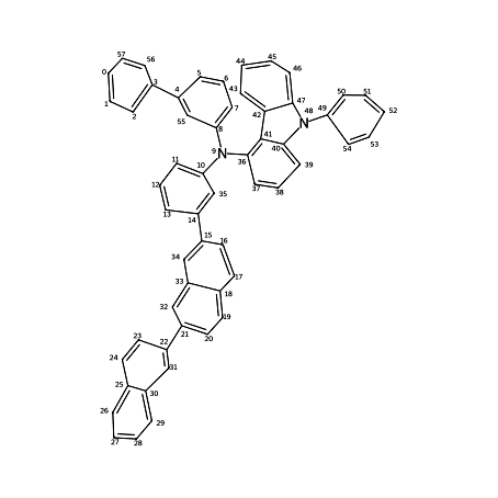 c1ccc(-c2cccc(N(c3cccc(-c4ccc5ccc(-c6ccc7ccccc7c6)cc5c4)c3)c3cccc4c3c3ccccc3n4-c3ccccc3)c2)cc1